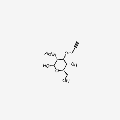 C#CCO[C@H]1[C@H](O)[C@@H](CO)O[C@@H](O)[C@@H]1NC(C)=O